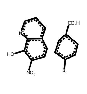 O=C(O)c1ccc(Br)cc1.O=[N+]([O-])c1ccc2cccnc2c1O